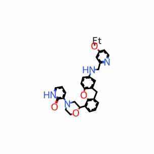 CCOc1ccnc(CNc2ccc3c(c2)Cc2cccc(C4CN(c5ccc[nH]c5=O)CCO4)c2O3)c1